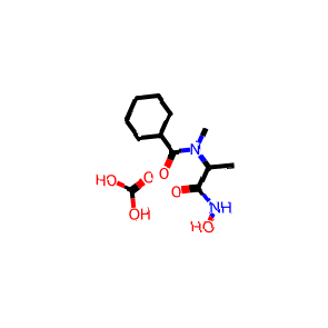 CC(C(=O)NO)N(C)C(=O)C1CCCCC1.O=C(O)O